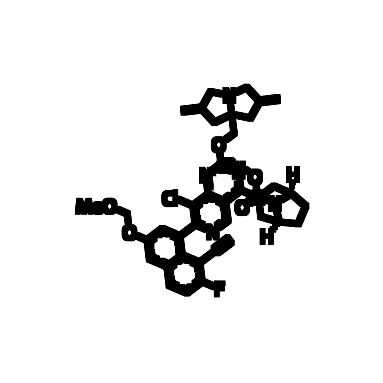 C#Cc1c(F)ccc2cc(OCOC)cc(-c3ncc4c(N5C[C@H]6CC[C@@H](C5)N6C(=O)OC(C)(C)C)nc(OCC56CC(=C)CN5CC(=C)C6)nc4c3Cl)c12